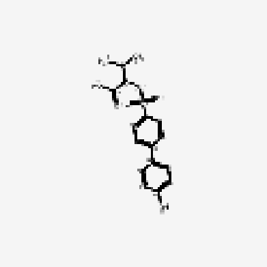 CC(C)[C@@H](NS(=O)(=O)c1ccc(-c2ccc(O)cc2)cc1)C(=O)O